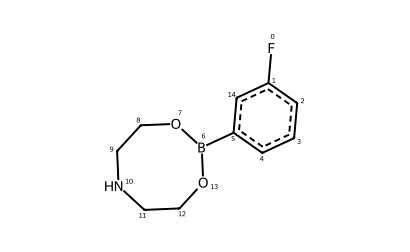 Fc1cccc(B2OCCNCCO2)c1